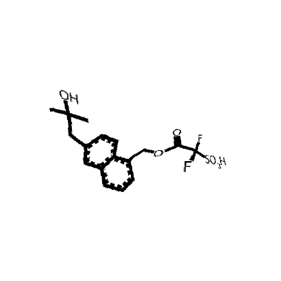 CC(C)(O)Cc1ccc2c(COC(=O)C(F)(F)S(=O)(=O)O)cccc2c1